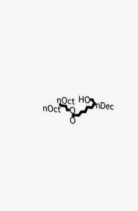 CCCCCCCCCCC(CO)CCCCCC(=O)OCCC(CCCCCCCC)CCCCCCCC